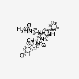 COC1(c2ccc(Cl)cc2)CCN(C(=O)N2C=C(NCCNC(C)=O)c3cc(-c4ccccc4)[nH]c3C2)CC1